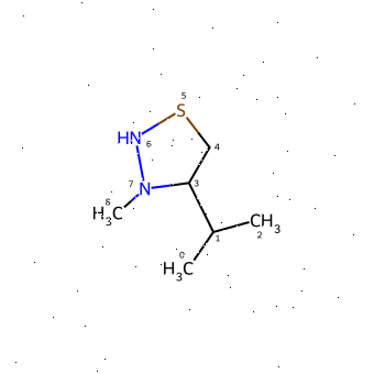 CC(C)C1CSNN1C